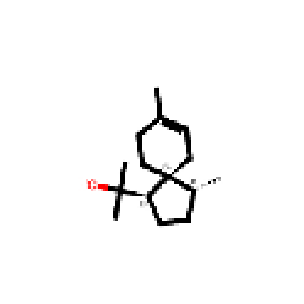 CC1=CC[C@@]2(CC1)[C@H](C)CC[C@H]2C(C)(C)O